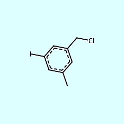 Cc1cc(I)cc(CCl)c1